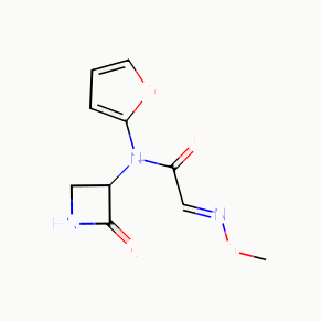 CON=CC(=O)N(c1ccco1)C1CNC1=O